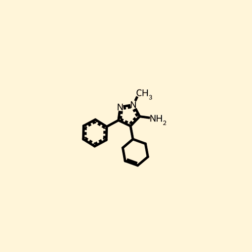 Cn1nc(-c2ccccc2)c(C2CC=CCC2)c1N